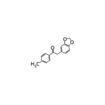 Cc1ccc(C(=O)Cc2ccc3c(c2)OCO3)cc1